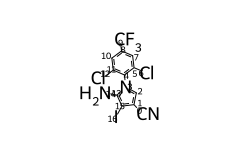 N#Cc1cn(-c2c(Cl)cc(C(F)(F)F)cc2Cl)c(N)c1I